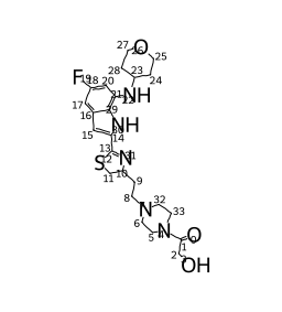 O=C(CO)N1CCN(CCC2CSC(c3cc4cc(F)cc(NC5CCOCC5)c4[nH]3)=N2)CC1